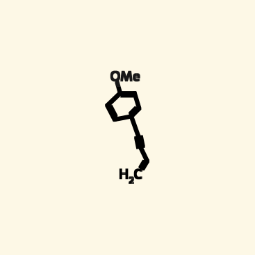 C=CC#Cc1ccc(OC)cc1